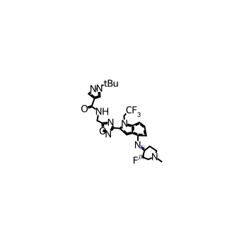 CN1CC/C(=N\c2cccc3c2cc(-c2noc(CNC(=O)c4cnn(C(C)(C)C)c4)n2)n3CC(F)(F)F)[C@@H](F)C1